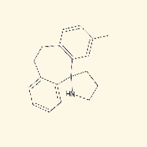 Cc1ccc2c(c1)C1(CCCN1)c1ccccc1CC2